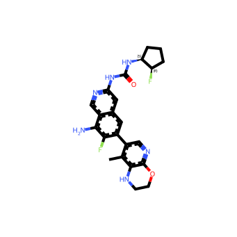 Cc1c(-c2cc3cc(NC(=O)N[C@H]4CCC[C@H]4F)ncc3c(N)c2F)cnc2c1NCCO2